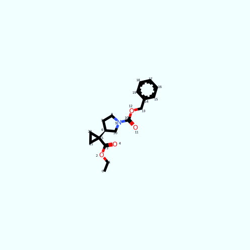 CCOC(=O)C1([C@H]2CCN(C(=O)OCc3ccccc3)C2)CC1